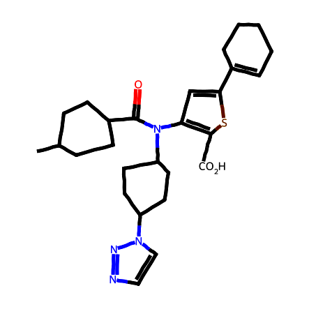 CC1CCC(C(=O)N(c2cc(C3=CCCCC3)sc2C(=O)O)C2CCC(n3ccnn3)CC2)CC1